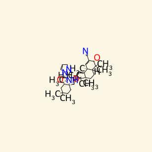 CC(=O)/C=C1/[C@@]2(C)C=C(C#N)C(=O)C(C)(C)[C@@H]2CC[C@@]1(C)C(C)(C)CC[C@@]1(NC(=O)n2cccn2)CCC(C)(C)CC1C